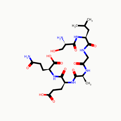 CC(C)C[C@H](NC(=O)[C@@H](N)CO)C(=O)NCC(=O)N[C@@H](C)C(=O)N[C@@H](CCC(=O)O)C(=O)N[C@@H](CCC(N)=O)C(=O)O